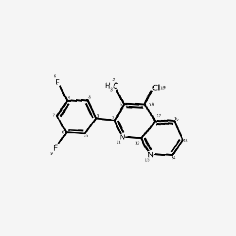 Cc1c(-c2cc(F)cc(F)c2)nc2ncccc2c1Cl